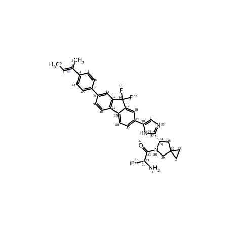 C/C=C(\C)c1ccc(-c2ccc3c(c2)C(F)(F)c2cc(-c4cnc([C@@H]5CC6(CC6)CN5C(=O)[C@@H](N)C(C)C)[nH]4)ccc2-3)cc1